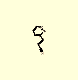 N#CC=Cc1cccnn1